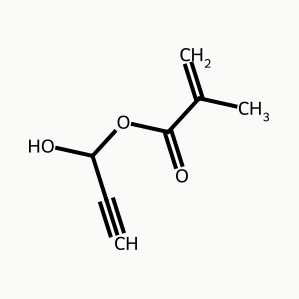 C#CC(O)OC(=O)C(=C)C